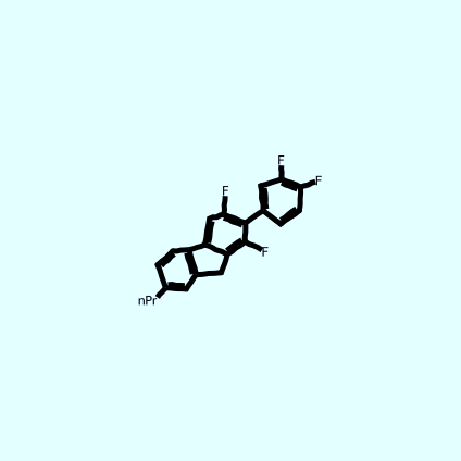 CCCc1ccc2c(c1)Cc1c-2cc(F)c(-c2ccc(F)c(F)c2)c1F